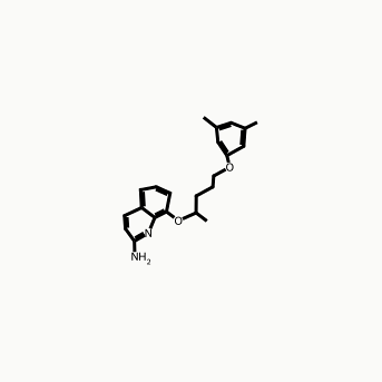 Cc1cc(C)cc(OCCCC(C)Oc2cccc3ccc(N)nc23)c1